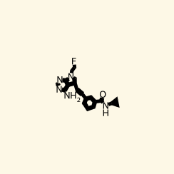 Nc1ncnc2c1c(C#Cc1cccc(C(=O)NC3CC3)c1)cn2CCF